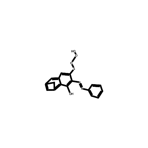 OOOSc1cc2cc3cc(c2c(O)c1N=Nc1ccccc1)C3